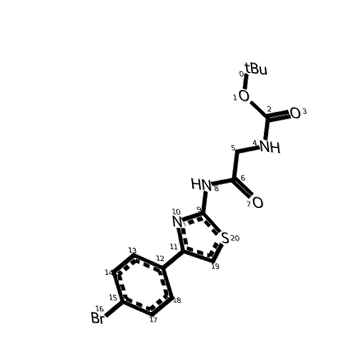 CC(C)(C)OC(=O)NCC(=O)Nc1nc(-c2ccc(Br)cc2)cs1